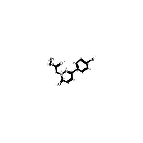 CC(C)NC(=O)Cn1nc(-c2ccc(Br)cc2)ccc1=O